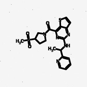 CC(Nc1nc(C(=O)N2CCC(S(C)(=O)=O)C2)c2sccc2n1)c1ccccn1